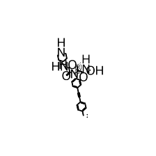 [CH]c1ccc(C#Cc2ccc(N(C(=O)CNC3CCNCC3)[C@H](C(=O)NO)[C@@H](C)O)cc2)cc1